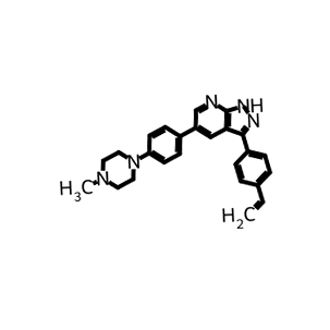 C=Cc1ccc(-c2n[nH]c3ncc(-c4ccc(N5CCN(C)CC5)cc4)cc23)cc1